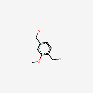 COc1cc(C[O])ccc1CCl